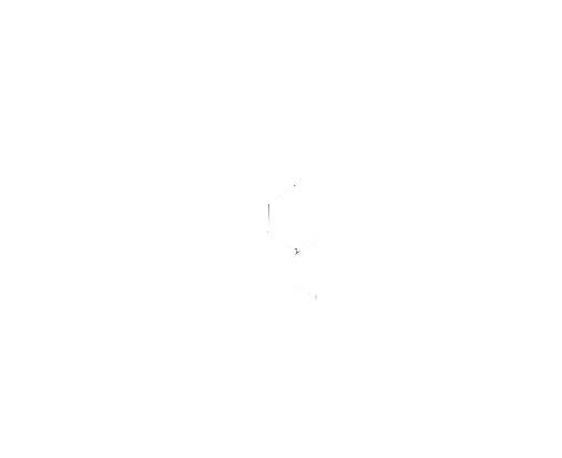 CC(C)OC(=O)N[C@@H]([C@@H](O)C(=O)O)C(F)(F)F